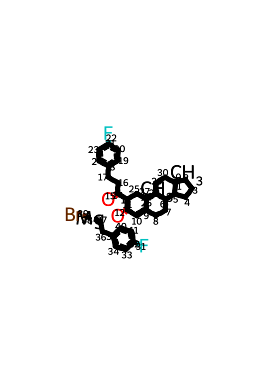 C[C@@]12CCCC1C1CCC3=CC(=O)C(C(=O)CCc4ccc(F)cc4)C[C@]3(C)C1CC2.Fc1ccc(C[CH2][Mg][Br])cc1